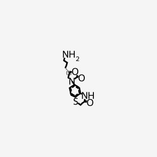 NCCC[C@H]1CN(c2ccc3c(c2)NC(=O)CS3)C(=O)O1